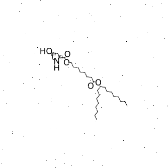 CCCCCCCCC(CCCCCCCC)OC(=O)CCCCCCCOC(=O)[C@@H]1C[C@H](O)CN1